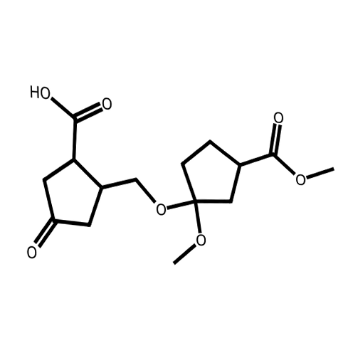 COC(=O)C1CCC(OC)(OCC2CC(=O)CC2C(=O)O)C1